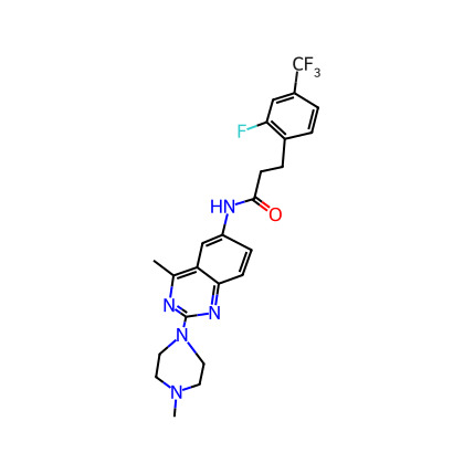 Cc1nc(N2CCN(C)CC2)nc2ccc(NC(=O)CCc3ccc(C(F)(F)F)cc3F)cc12